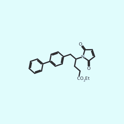 CCOC(=O)CCC(Cc1ccc(-c2ccccc2)cc1)N1C(=O)C=CC1=O